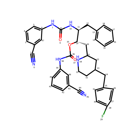 N#Cc1cccc(NC(=O)N[C@@H](Cc2ccccc2)[C@H](CC2CC(Cc3ccc(F)cc3)CCN2)OC(=O)Nc2cccc(C#N)c2)c1